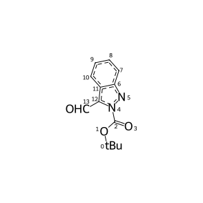 CC(C)(C)OC(=O)n1nc2ccccc2c1C=O